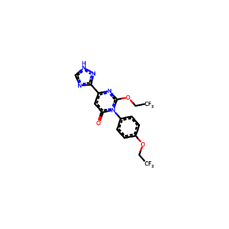 O=c1cc(-c2nc[nH]n2)nc(OCC(F)(F)F)n1-c1ccc(OCC(F)(F)F)cc1